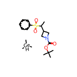 CC(C1CN(C(=O)OC(C)(C)C)C1)S(=O)(=O)c1ccccc1.[CH3][GeH]([CH3])[CH3]